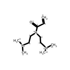 C=CC(=O)N(CCN(C)C)CCN(C)C